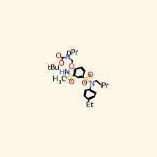 CCCN(COc1ccc(S(=O)(=O)N(CC(C)C)c2ccc(CC)cc2)cc1S(C)(=N)=O)C(=O)OC(C)(C)C